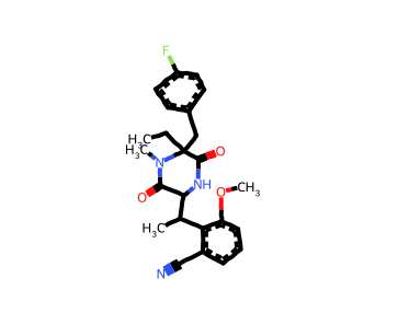 CCC1(Cc2ccc(F)cc2)C(=O)NC(C(C)c2c(C#N)cccc2OC)C(=O)N1C